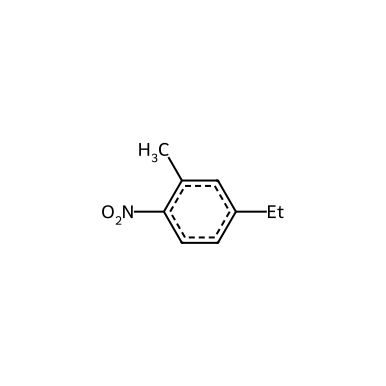 [CH2]Cc1ccc([N+](=O)[O-])c(C)c1